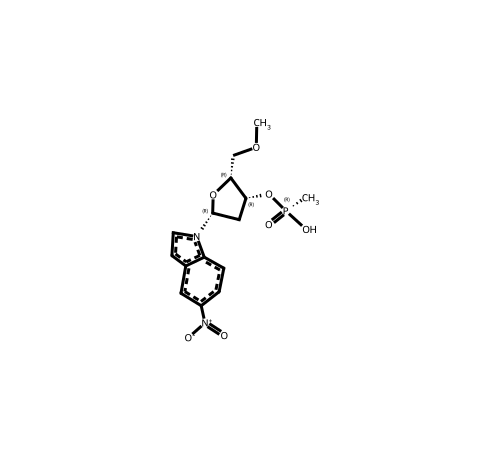 COC[C@H]1O[C@@H](n2ccc3cc([N+](=O)[O-])ccc32)C[C@H]1O[P@](C)(=O)O